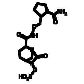 NC(=O)N1CCCC1CONC(=O)[C@@H]1CCC2CN1C(=O)N2OS(=O)(=O)O